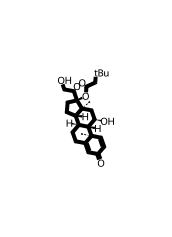 CC(C)(C)CC(=O)O[C@]1(C(=O)CO)CC[C@H]2[C@@H]3CCC4=CC(=O)C=C[C@]4(C)[C@H]3[C@@H](O)C[C@@]21C